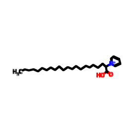 CCCCCCCCCCCCCCCCCCCCC(C(=O)O)[n+]1ccccc1